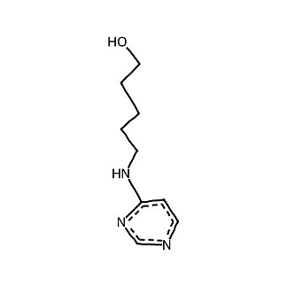 OCCCCCNc1ccncn1